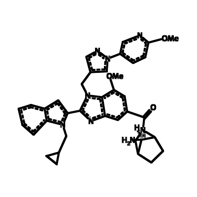 COc1ccc(-n2cc(Cn3c(-c4cc5ccccc5n4CC4CC4)nc4cc(C(=O)N5CC6CCC5[C@@H]6N)cc(OC)c43)cn2)cn1